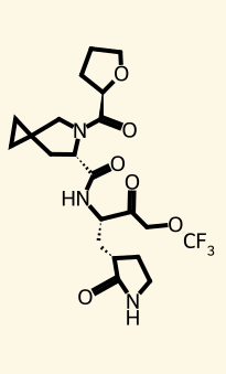 O=C1NCC[C@H]1C[C@H](NC(=O)[C@@H]1CC2(CC2)CN1C(=O)[C@H]1CCCO1)C(=O)COC(F)(F)F